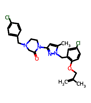 C=C(C)COc1ccc(Cl)cc1Cn1nc(N2CCN(Cc3ccc(Cl)cc3)CC2=O)cc1C